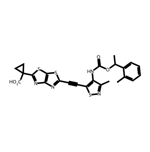 Cc1ccccc1C(C)OC(=O)Nc1c(C)nsc1C#Cc1nc2nc(C3(C(=O)O)CC3)sc2s1